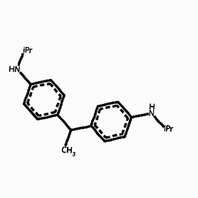 CC(C)Nc1ccc(C(C)c2ccc(NC(C)C)cc2)cc1